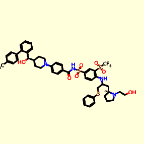 O=C(NS(=O)(=O)c1ccc(NC(CSc2ccccc2)C[C@@H]2CCCN2CCO)c(S(=O)(=O)C(F)(F)F)c1)c1ccc(N2CCC(C(O)c3ccccc3-c3ccc(C(F)(F)F)cc3)CC2)cc1